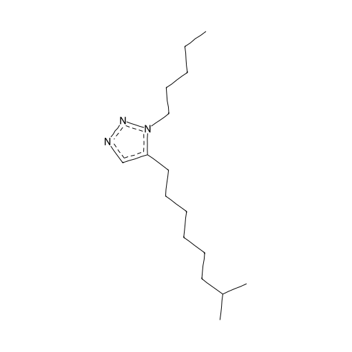 CCCCCn1nncc1CCCCCCC(C)C